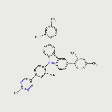 Cc1ccc(-c2ccc3c(c2)c2cc(-c4ccc(C)cc4C)ccc2n3-c2ccc(-c3cnc(C#N)nc3)cc2C#N)c(C)c1